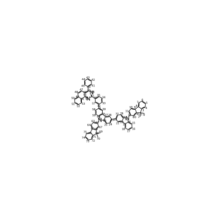 CC1(C)c2ccccc2-c2ccc(-n3c4ccccc4c4cc(-c5ccc6c(c5)c5cc(-c7cccc(-c8nc(-c9ccccc9)c9ccc%10ccccc%10c9n8)c7)ccc5n6-c5ccc6c(c5)C(C)(C)c5ccccc5-6)ccc43)cc21